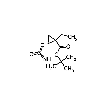 CCC1(C(=O)OC(C)(C)C)CC1.N=S(=O)=O